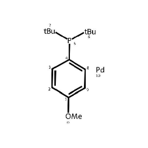 COc1ccc(P(C(C)(C)C)C(C)(C)C)cc1.[Pd]